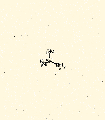 B[SiH2][No].[Ni]